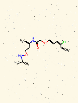 C=C/C(Cl)=C\C=C\OCC(=O)NC(=C)CCONC(C)C